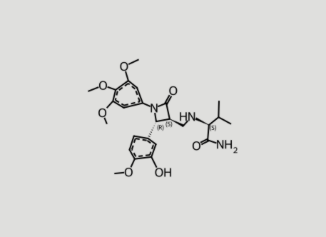 COc1ccc([C@H]2[C@H](CN[C@H](C(N)=O)C(C)C)C(=O)N2c2cc(OC)c(OC)c(OC)c2)cc1O